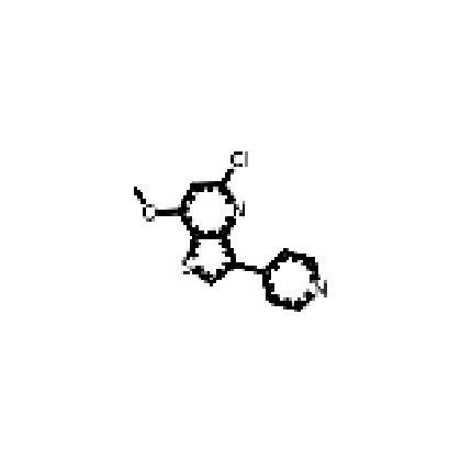 COc1cc(Cl)nc2c(-c3ccncc3)csc12